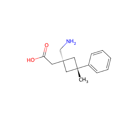 C[C@]1(c2ccccc2)C[C@](CN)(CC(=O)O)C1